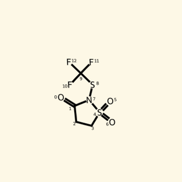 O=C1CCS(=O)(=O)N1SC(F)(F)F